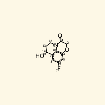 O=C1COc2cc(F)cc3c2N1CCC3O